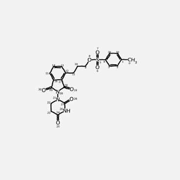 Cc1ccc(S(=O)(=O)OCCCc2cccc3c2C(=O)N(N2CCC(=O)NC2=O)C3=O)cc1